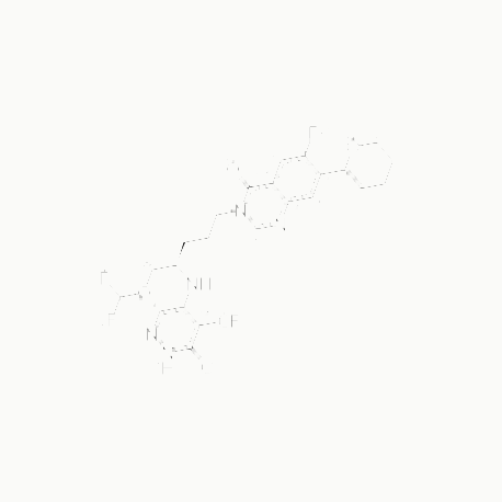 O=c1[nH]ncc(N[C@H](CCCn2cnc3cc(C4=CCCCO4)c(F)cc3c2=O)COC(F)F)c1C(F)(F)F